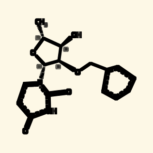 C[C@H]1O[C@@H](n2ccc(=O)[nH]c2=O)[C@H](OCc2ccccc2)[C@@H]1O